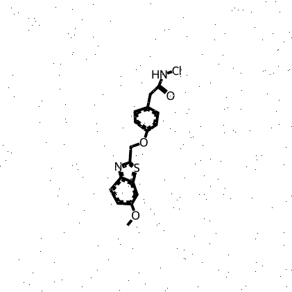 COc1ccc2nc(COc3ccc(CC(=O)NCl)cc3)sc2c1